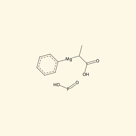 C[CH]([Mg][c]1ccccc1)C(=O)O.O=PO